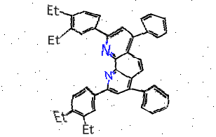 CCc1ccc(-c2cc(-c3ccccc3)c3ccc4c(-c5ccccc5)cc(-c5ccc(CC)c(CC)c5)nc4c3n2)cc1CC